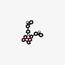 c1ccc(-c2cccc3cccc(-c4ccccc4N(c4ccc(-c5ccc6oc7ccccc7c6c5)cc4)c4cccc(-c5ccc6oc7ccccc7c6c5)c4)c23)cc1